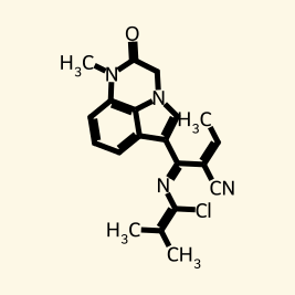 C/C=C(C#N)\C(=N/C(Cl)=C(C)C)c1cn2c3c(cccc13)N(C)C(=O)C2